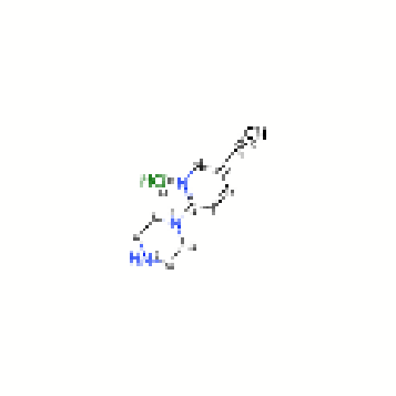 C#Cc1ccc(N2CCNCC2)nc1.Cl